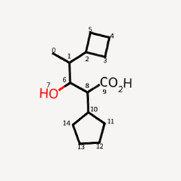 CC(C1CCC1)C(O)C(C(=O)O)C1CCCC1